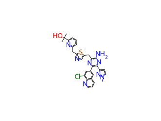 Cn1ccc(-c2nc(N)c(Cc3cnc(Cc4cccc(C(C)(C)O)n4)s3)nc2-c2cc(Cl)c3ncccc3c2)n1